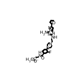 C[S@@+]([O-])CCNC(=O)c1ccc(N2CCN(CCNc3nc(N)n4nc(-c5ccco5)cc4n3)CC2)c(F)c1